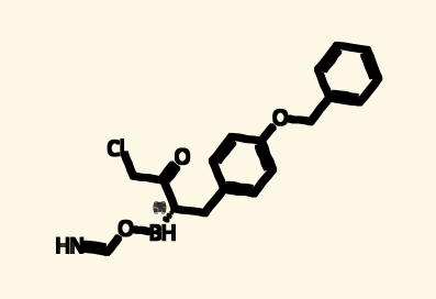 N=COB[C@@H](Cc1ccc(OCc2ccccc2)cc1)C(=O)CCl